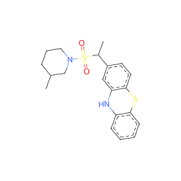 CC1CCCN(S(=O)(=O)C(C)c2ccc3c(c2)Nc2ccccc2S3)C1